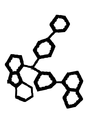 C1=Cc2sc3cccc(N(c4ccc(-c5ccccc5)cc4)c4cccc(-c5cccc6ccccc56)c4)c3c2CC1